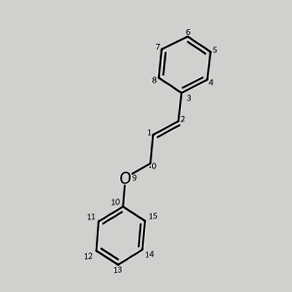 [CH](C=Cc1ccccc1)Oc1ccccc1